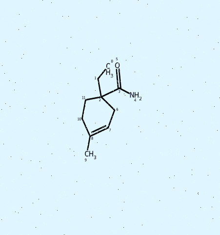 CCC1(C(N)=O)CC=C(C)CC1